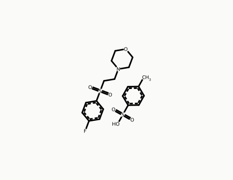 Cc1ccc(S(=O)(=O)O)cc1.O=S(=O)(CCN1CCOCC1)c1ccc(F)cc1